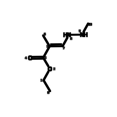 CCOC(=O)C(C)=CNNC